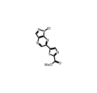 CCn1ncc2ncc(-c3cnc(C(=O)OC)s3)nc21